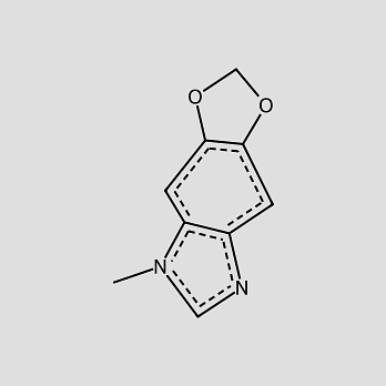 Cn1cnc2cc3c(cc21)OCO3